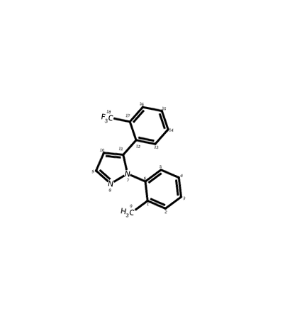 Cc1ccccc1-n1nccc1-c1c[c]ccc1C(F)(F)F